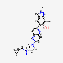 Cc1c(O)c(-c2ccc3nc(N4CC[C@H](NCC5CC5)C4)ccc3n2)cc2cn(C)nc12